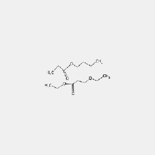 CCCCOC(=O)CC.CCOCCC(=O)OCC